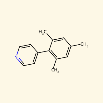 Cc1cc(C)c(-c2ccncc2)c(C)c1